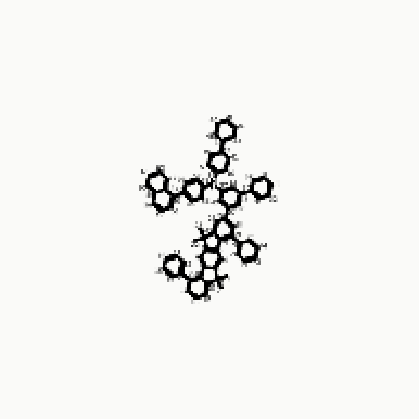 CC1(C)c2cc3c(cc2-c2c(-c4ccccc4)cccc21)C(C)(C)c1cc(-c2cc(-c4ccccc4)cc(N(c4ccc(-c5ccccc5)cc4)c4ccc(-c5cccc6ccccc56)cc4)c2)cc(-c2ccccc2)c1-3